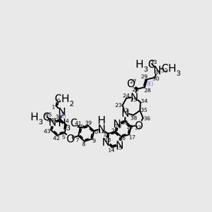 C=C/N=c1/cc(Oc2ccc(Nc3ncnc4cc5c(nc34)N3CCN(C(=O)/C=C/CN(C)C)CC(CO5)C3)cc2C)ccn1C